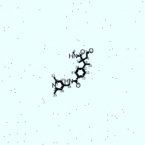 CNC(=O)C(C)(CC=O)C(C)c1ccc(C(=O)NCc2cc(C)nc(C)c2)cc1